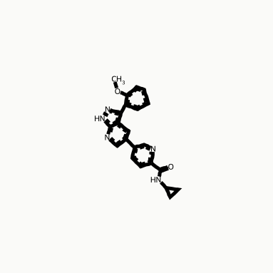 COc1ccccc1-c1n[nH]c2ncc(-c3ccc(C(=O)NC4CC4)nc3)cc12